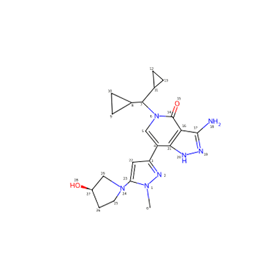 Cn1nc(-c2cn(C(C3CC3)C3CC3)c(=O)c3c(N)n[nH]c23)cc1N1CC[C@@H](O)C1